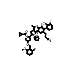 COc1cccc(F)c1COC1CC(c2cc3c(C)nc4c(F)c(-c5cccc(Cl)c5Cl)c(CCC#N)cc4c3n2C2C3CNC2C3)N(C(=O)C2CC2)C1